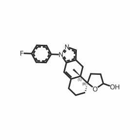 C[C@]12Cc3cnn(-c4ccc(F)cc4)c3C=C1CCC[C@@]21CCC(O)O1